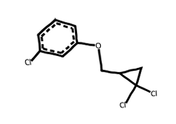 Clc1c[c]cc(OCC2CC2(Cl)Cl)c1